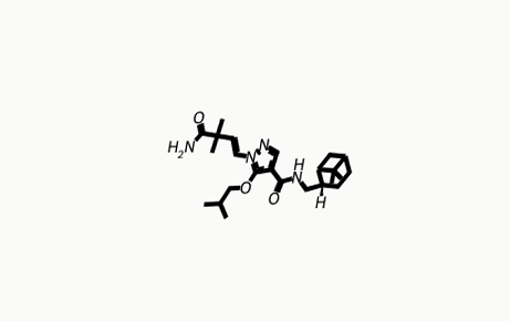 CC(C)COc1c(C(=O)NC[C@H]2CCC3CC2C3(C)C)cnn1/C=C/C(C)(C)C(N)=O